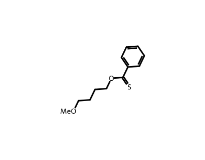 COCCCCOC(=S)c1ccccc1